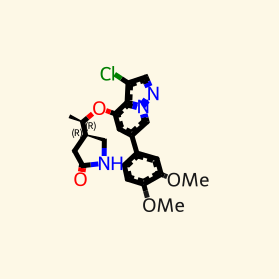 COc1ccc(-c2cc(O[C@H](C)[C@H]3CNC(=O)C3)c3c(Cl)cnn3c2)cc1OC